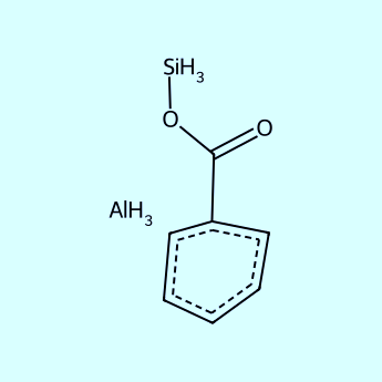 O=C(O[SiH3])c1ccccc1.[AlH3]